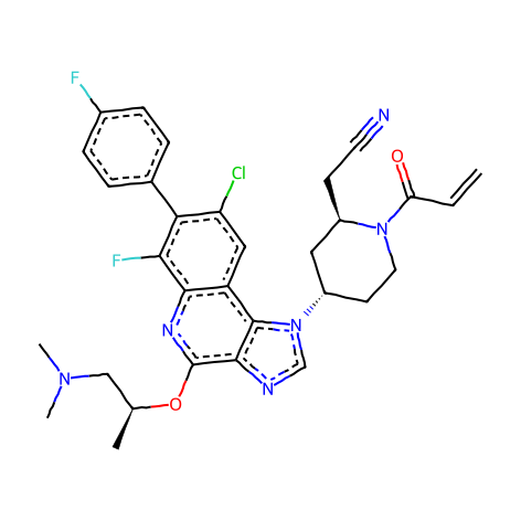 C=CC(=O)N1CC[C@H](n2cnc3c(O[C@@H](C)CN(C)C)nc4c(F)c(-c5ccc(F)cc5)c(Cl)cc4c32)C[C@H]1CC#N